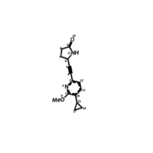 COc1nc(C#CC2CCC(=O)N2)ccc1C1CC1